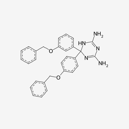 NC1=NC(c2ccc(OCc3ccccc3)cc2)(c2cccc(OCc3ccccc3)c2)NC(N)=N1